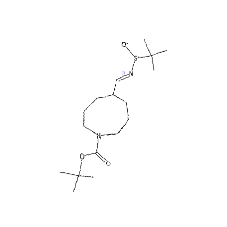 CC(C)(C)OC(=O)N1CCCC(/C=N/[S+]([O-])C(C)(C)C)CCC1